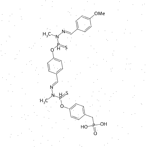 COc1ccc(/C=N/N(C)[PH](=S)Oc2ccc(/C=N/N(C)[PH](=S)Oc3ccc(CP(=O)(O)O)cc3)cc2)cc1